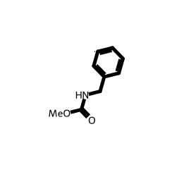 COC(=O)NCc1c[c]ccc1